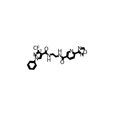 O=C(NCCNC(=O)c1cn(-c2ccccc2)nc1C(F)(F)F)c1ccc(-c2ncon2)nc1